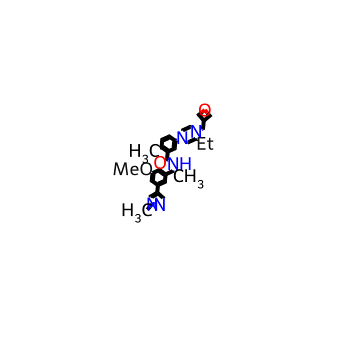 CC[C@@H]1CN(c2ccc(C)c(C(=O)N[C@H](C)c3cc(OC)cc(-c4cnn(C)c4)c3)c2)CCN1CC1COC1